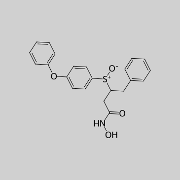 O=C(CC(Cc1ccccc1)[S+]([O-])c1ccc(Oc2ccccc2)cc1)NO